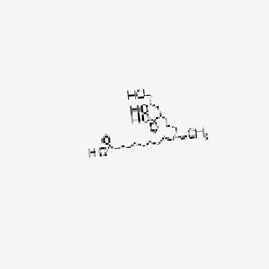 CCC(CCCCCCCCCC(=O)O)CCCC(CC(O)CO)C(=O)O